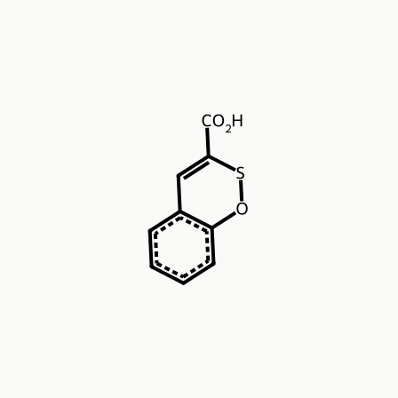 O=C(O)C1=Cc2ccccc2OS1